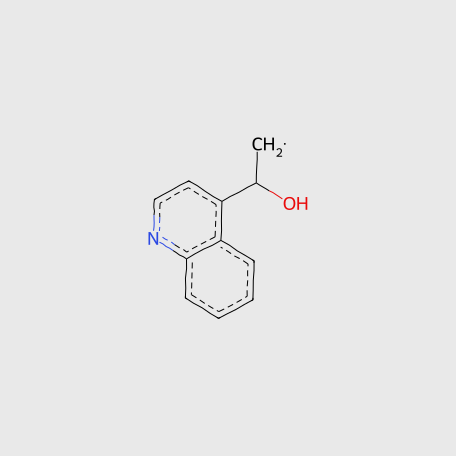 [CH2]C(O)c1ccnc2ccccc12